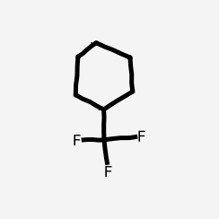 FC(F)(F)[C]1CC[CH]CC1